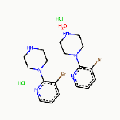 Brc1cccnc1N1CCNCC1.Brc1cccnc1N1CCNCC1.Cl.Cl.O